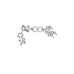 CC(C)(C)OC(=O)N1CCC2(CC1)CCN(c1nn3c(-c4cccc(OC(F)(F)F)c4)cnc3s1)CC2